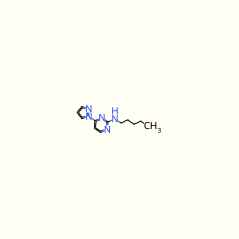 CCCCCNc1nccc(-n2cccn2)n1